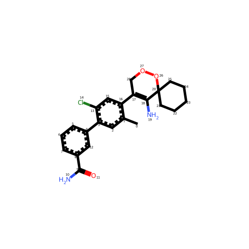 Cc1cc(-c2cccc(C(N)=O)c2)c(Cl)cc1C1=C(N)C2(CCCCC2)OOC1